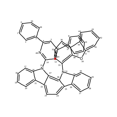 c1ccc(-c2cc(-c3ccccc3)nc(-n3c4ccccc4c4ccc5c6ccccc6n(-c6cccc7c6oc6ccccc67)c5c43)n2)cc1